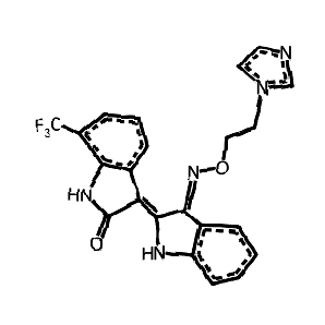 O=C1Nc2c(cccc2C(F)(F)F)/C1=C1/Nc2ccccc2/C1=N\OCCn1ccnc1